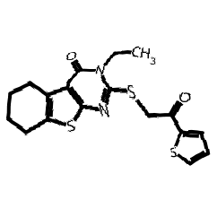 CCn1c(SCC(=O)c2cccs2)nc2sc3c(c2c1=O)CCCC3